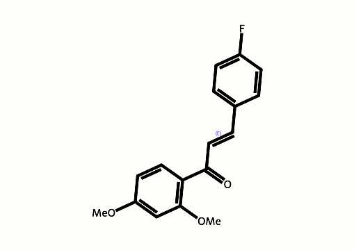 COc1ccc(C(=O)/C=C/c2ccc(F)cc2)c(OC)c1